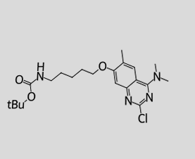 Cc1cc2c(N(C)C)nc(Cl)nc2cc1OCCCCCNC(=O)OC(C)(C)C